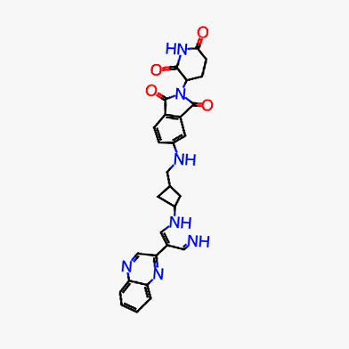 N=C/C(=C\NC1CC(CNc2ccc3c(c2)C(=O)N(C2CCC(=O)NC2=O)C3=O)C1)c1cnc2ccccc2n1